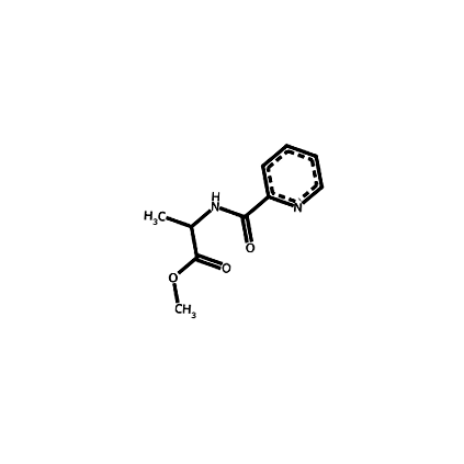 COC(=O)C(C)NC(=O)c1ccccn1